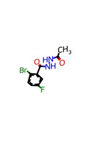 CC(=O)NNC(=O)c1cc(F)ccc1Br